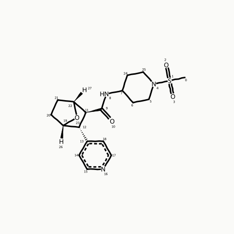 CS(=O)(=O)N1CCC(NC(=O)[C@H]2[C@H](c3ccncc3)[C@@H]3CC[C@H]2O3)CC1